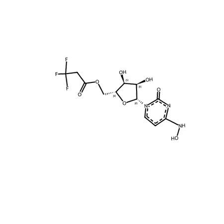 O=C(CC(F)(F)F)OC[C@H]1O[C@@H](n2ccc(NO)nc2=O)[C@H](O)[C@@H]1O